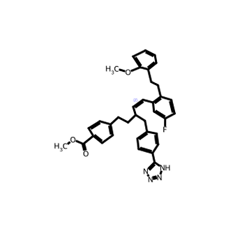 COC(=O)c1ccc(CCC(/C=C\c2cc(F)ccc2CCc2ccccc2OC)Cc2ccc(-c3nnn[nH]3)cc2)cc1